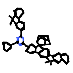 CC1(C)c2ccccc2-c2ccc(-c3nc(-c4ccccc4)nc(-c4ccc5c(c4)C4(c6cc7c(cc6-5)[Si](C)(C)c5cc6ccccc6cc5-7)C5CC6CC(C5)CC4C6)n3)cc21